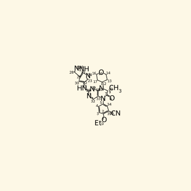 CCOc1ccc(N2C(=O)[C@@H](C)N(C3CCOCC3)c3nc(Nc4cnc5[nH]ncc5c4)ncc32)cc1C#N